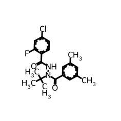 Cc1cc(C)cc(C(=O)N(NC(=O)c2ccc(Cl)cc2F)C(C)(C)C)c1